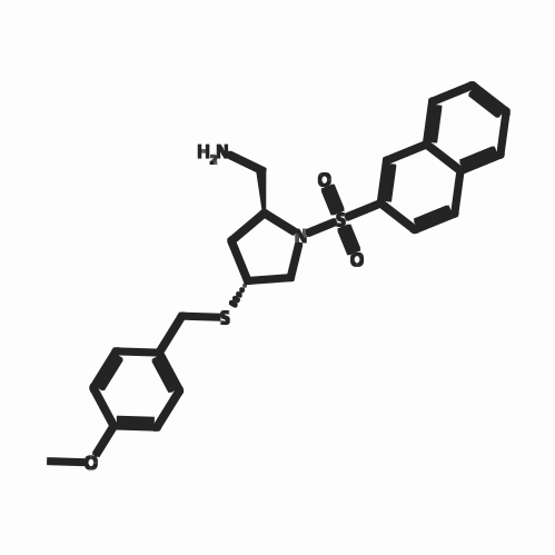 COc1ccc(CS[C@@H]2C[C@@H](CN)N(S(=O)(=O)c3ccc4ccccc4c3)C2)cc1